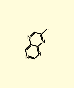 [CH2]c1cnc2cncnc2n1